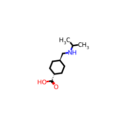 CC(C)NC[C@H]1CC[C@H](C(=O)O)CC1